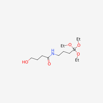 CCO[Si](CCCNC(=O)CCCO)(OCC)OCC